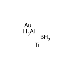 B.[AlH3].[Au].[Ti]